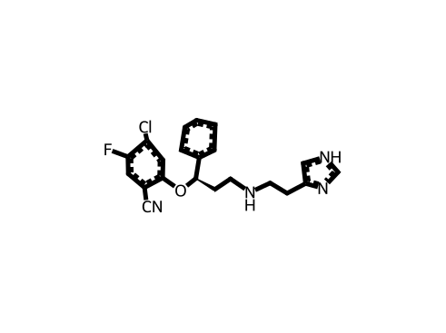 N#Cc1cc(F)c(Cl)cc1O[C@H](CCNCCc1c[nH]cn1)c1ccccc1